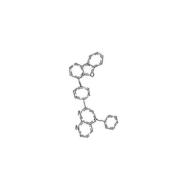 c1ccc(-c2cc(-c3ccc(-c4cccc5c4oc4ccccc45)cc3)nc3ncccc23)cc1